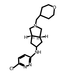 Clc1ccc(NC2C[C@@H]3CN(CC4CCOCC4)C[C@@H]3C2)nn1